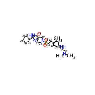 Cc1cc(NCCN(C)C)ccc1/C=C/S(=O)(=O)N1CCC2(CC1)N=C(C1CCCCC1)NC2=O